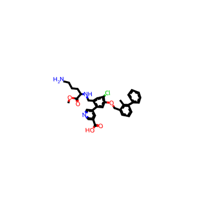 COC(=O)C(CCCCN)NCc1cc(Cl)c(OCc2cccc(-c3ccccc3)c2C)cc1-c1cncc(C(=O)O)c1